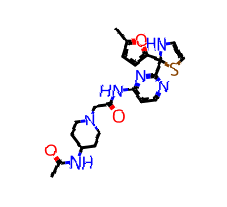 CC(=O)NC1CCN(CC(=O)Nc2ccnc(C3(c4ccc(C)o4)NC=CS3)n2)CC1